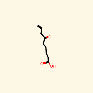 C=CCC(=O)CCCCC(=O)O